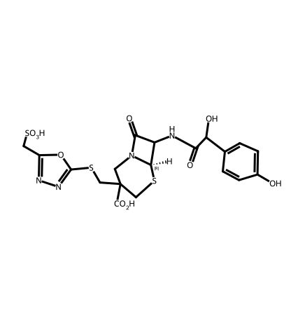 O=C(NC1C(=O)N2CC(CSc3nnc(CS(=O)(=O)O)o3)(C(=O)O)CS[C@H]12)C(O)c1ccc(O)cc1